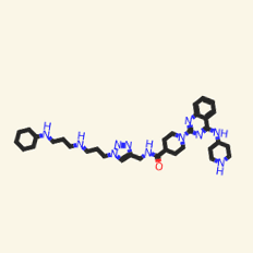 O=C(NCc1cn(CCCNCCCNC2CCCCC2)nn1)C1CCN(c2nc(NC3CCNCC3)c3ccccc3n2)CC1